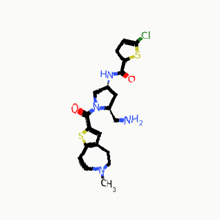 CN1CCc2cc(C(=O)N3C[C@H](NC(=O)C4CC=C(Cl)S4)C[C@H]3CN)sc2CC1